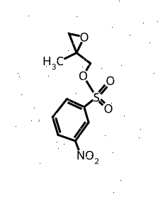 CC1(COS(=O)(=O)c2cccc([N+](=O)[O-])c2)CO1